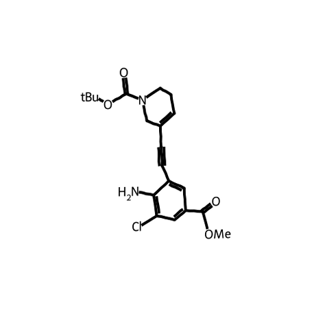 COC(=O)c1cc(Cl)c(N)c(C#CC2=CCCN(C(=O)OC(C)(C)C)C2)c1